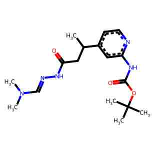 CC(CC(=O)N/N=C/N(C)C)c1ccnc(NC(=O)OC(C)(C)C)c1